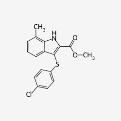 COC(=O)c1[nH]c2c(C)cccc2c1Sc1ccc(Cl)cc1